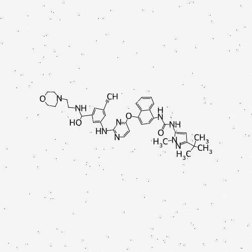 C#Cc1cc(Nc2nccc(Oc3ccc(NC(=O)Nc4cc(C(C)(C)C)nn4C)c4ccccc34)n2)cc(C(O)NCCN2CCOCC2)c1